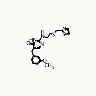 COc1cccc(Cc2cnc(NCCSCc3nccs3)[nH]c2=O)c1